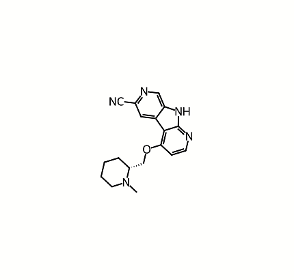 CN1CCCC[C@@H]1COc1ccnc2[nH]c3cnc(C#N)cc3c12